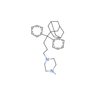 CN1CCN(CCCC(c2ccccc2)(c2ccccc2)C23CC4CC(CC(C4)C2)C3)CC1